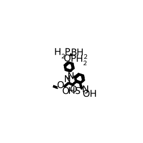 BC(P)(P)Oc1ccc(-n2nc(C(=O)OCC)c(=O)c3c(/C(S)=N/O)cccc32)cc1